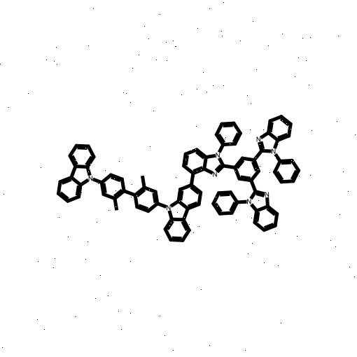 Cc1cc(-n2c3ccccc3c3ccccc32)ccc1-c1ccc(-n2c3ccccc3c3ccc(-c4cccc5c4nc(-c4cc(-c6nc7ccccc7n6-c6ccccc6)cc(-c6nc7ccccc7n6-c6ccccc6)c4)n5-c4ccccc4)cc32)cc1C